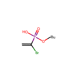 C=C(Br)P(=O)(O)OC(C)CC